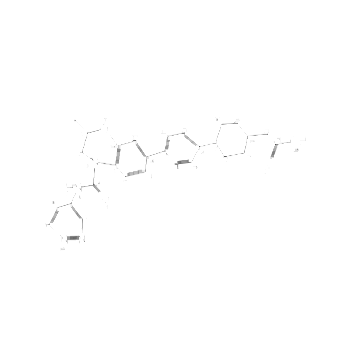 CC1CN(C(=O)Nc2ccnnc2)c2ccc(-c3ccc(C4CCC(CC(=O)O)CC4)cc3)cc2O1